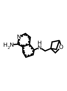 Nc1nccc2c(NCC34COC(C3)C4)cccc12